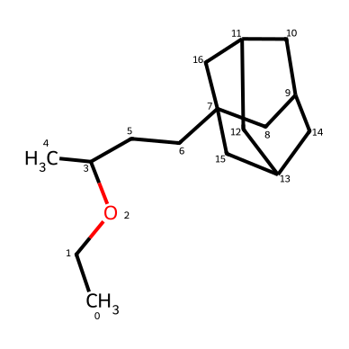 CCOC(C)CCC12CC3CC(CC(C3)C1)C2